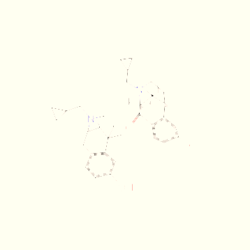 CC1C2Cc3ccc(O)cc3C1(C)CCN2CC1CC1.C[C@H]1[C@H]2C(=O)c3ccc(O)cc3[C@]1(C)CCN2CC1CC1